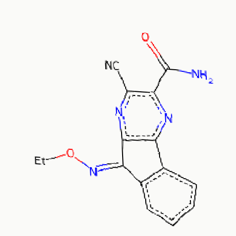 CCON=C1c2ccccc2-c2nc(C(N)=O)c(C#N)nc21